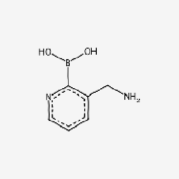 NCc1cccnc1B(O)O